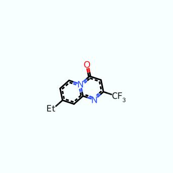 CCc1ccn2c(=O)cc(C(F)(F)F)nc2c1